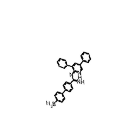 Bc1ccc(-c2ccc(C(=N)/N=c3\[nH]cc(-c4ccccc4)cc3-c3ccccc3)cc2)cc1